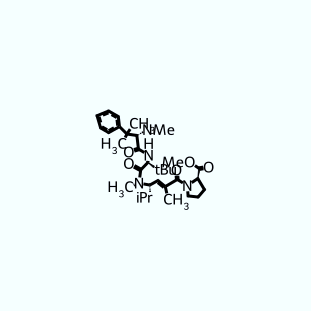 CN[C@H](C(=O)N[C@H](C(=O)N(C)[C@H](/C=C(\C)C(=O)N1CCC[C@@H]1C(=O)OC)C(C)C)C(C)(C)C)C(C)(C)c1ccccc1